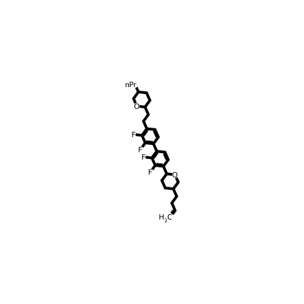 C=CCCC1CCC(c2ccc(-c3ccc(CCC4CCC(CCC)CO4)c(F)c3F)c(F)c2F)OC1